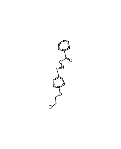 O=C(ON=Nc1ccc(OCCCl)cc1)c1ccccc1